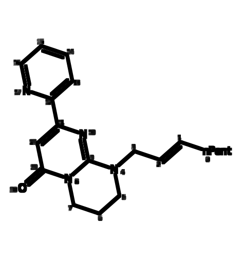 CCCCCC=CCN1CCCn2c1nc(-c1ccccn1)cc2=O